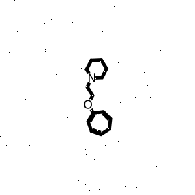 C1=CCC=CC(OCCN2CCCCC2)=C1